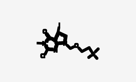 Cn1c(Cl)nc2c(c(I)cn2COCC[Si](C)(C)C)c1=O